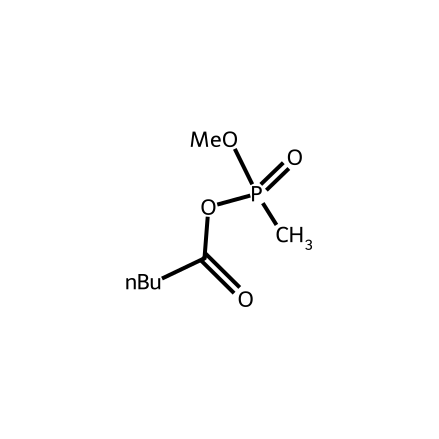 CCCCC(=O)OP(C)(=O)OC